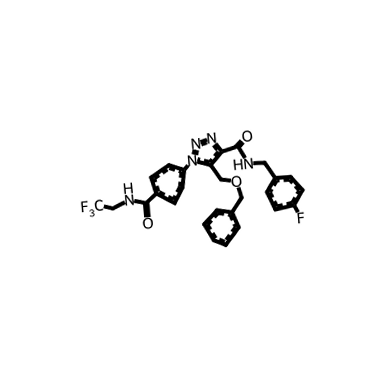 O=C(NCC(F)(F)F)c1ccc(-n2nnc(C(=O)NCc3ccc(F)cc3)c2COCc2ccccc2)cc1